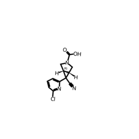 N#CC1(c2cccc(Cl)n2)[C@@H]2CN(C(=O)O)C[C@@H]21